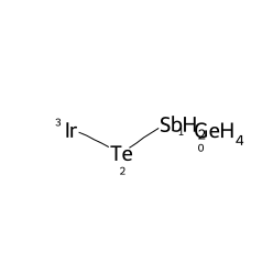 [GeH4].[SbH2][Te][Ir]